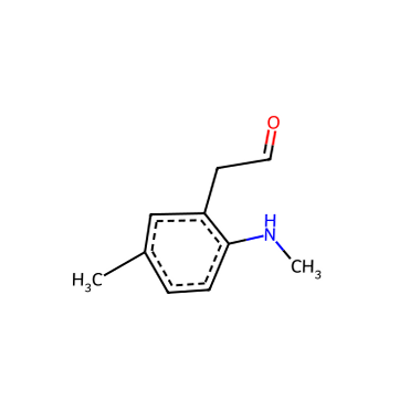 CNc1ccc(C)cc1CC=O